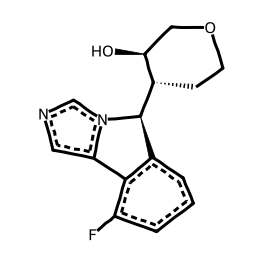 O[C@H]1COCC[C@@H]1[C@H]1c2cccc(F)c2-c2cncn21